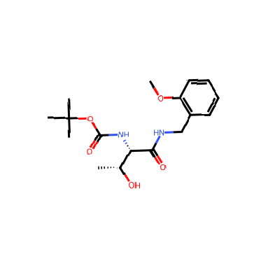 COc1[c]cccc1CNC(=O)[C@@H](NC(=O)OC(C)(C)C)[C@@H](C)O